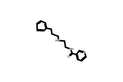 O=C(NCCNCCCc1ccccc1)c1cccnc1